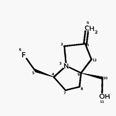 C=C1CN2[C@H](CF)CC[C@@]2(CO)C1